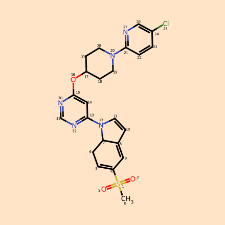 CS(=O)(=O)C1=CCC2C(=C1)C=CN2c1cc(OC2CCN(c3ccc(Cl)cn3)CC2)ncn1